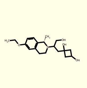 CCOc1ccc2c(c1)CCN(C(CO)CC1(O)CC(O)C1)[C@H]2C